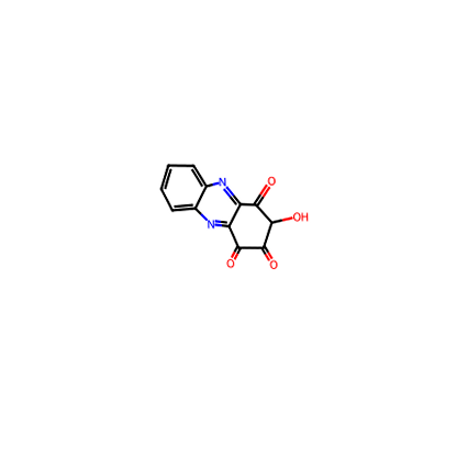 O=C1C(=O)C(O)C(=O)c2nc3ccccc3nc21